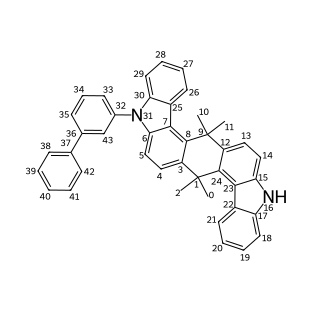 CC1(C)c2ccc3c(c2C(C)(C)c2ccc4[nH]c5ccccc5c4c21)c1ccccc1n3-c1cccc(-c2ccccc2)c1